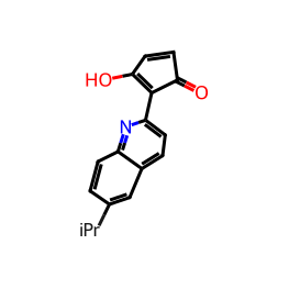 CC(C)c1ccc2nc(C3=C(O)C=CC3=O)ccc2c1